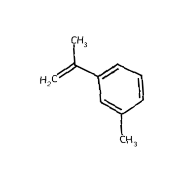 C=C(C)c1cccc(C)c1